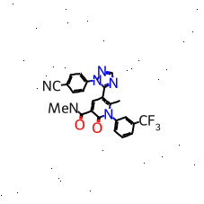 CNC(=O)c1cc(-c2ncnn2-c2ccc(C#N)cc2)c(C)n(-c2cccc(C(F)(F)F)c2)c1=O